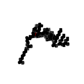 CC(=O)OCCC(C)C.CC(=O)OCCC(C)CCC=C(C)C.CCC(=O)OCCC(C)CCC=C(C)C.CCCCCCCCCCCCOC(C)=O.CCCCCCCCOC(C)=O.CCCCCCOC(=O)CC.CCCCCCOC(C)=O.CCCCOC(=O)CC.CCCCOC(C)=O.CCOC(=O)CC.CCOC(C)=O